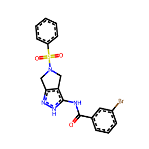 O=C(Nc1[nH]nc2c1CN(S(=O)(=O)c1ccccc1)C2)c1cccc(Br)c1